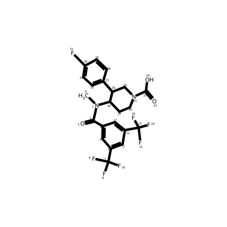 CN(C(=O)c1cc(C(F)(F)F)cc(C(F)(F)F)c1)C1CCN(C(=O)O)CC1c1ccc(F)cc1